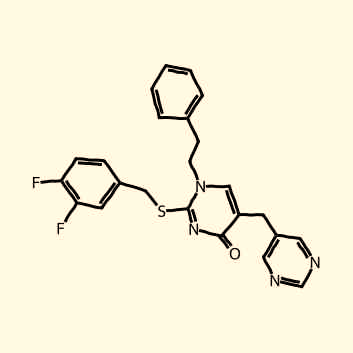 O=c1nc(SCc2ccc(F)c(F)c2)n(CCc2ccccc2)cc1Cc1cncnc1